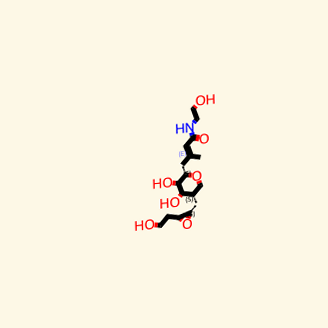 C/C(=C\C(=O)NCCO)C[C@@H]1OC[C@H](C[C@@H]2OC2CCO)C(O)C1O